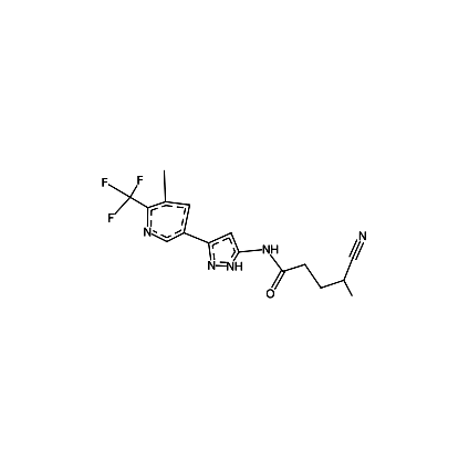 Cc1cc(-c2cc(NC(=O)CCC(C)C#N)[nH]n2)cnc1C(F)(F)F